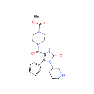 CC(C)(C)OC(=O)N1CCN(C(=O)c2[nH]c(=O)n(C3CCCNC3)c2-c2ccccc2)CC1